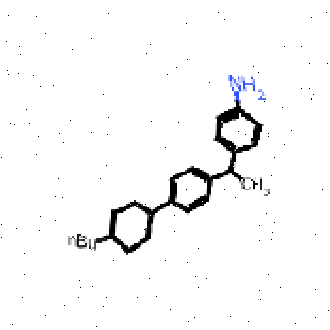 CCCCC1CCC(c2ccc(C(C)c3ccc(N)cc3)cc2)CC1